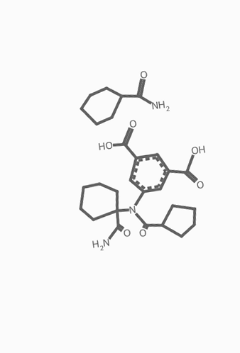 NC(=O)C1(N(C(=O)C2CCCC2)c2cc(C(=O)O)cc(C(=O)O)c2)CCCCC1.NC(=O)C1CCCCC1